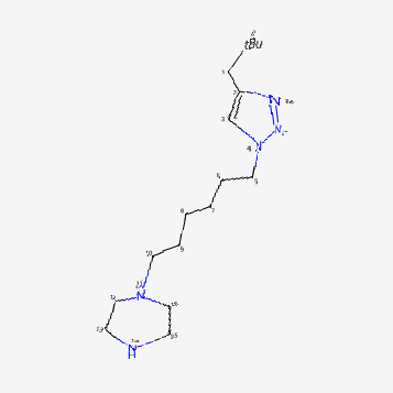 CC(C)(C)Cc1cn(CCCCCCN2CCNCC2)nn1